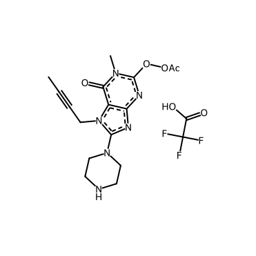 CC#CCn1c(N2CCNCC2)nc2nc(OOC(C)=O)n(C)c(=O)c21.O=C(O)C(F)(F)F